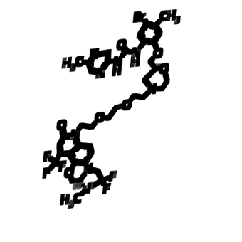 CC[C@@H]1COc2c(ccc3c2c(C(F)(F)F)cc(=O)n3CCOCCOCCN2CCO[C@H](COc3cc(C)c(Br)cc3NC(=O)Nc3cnc(C)cn3)C2)N1CC(F)(F)F